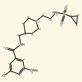 COc1cc(Cl)cc(C(=O)NCC2CCN(CCNS(=O)(=O)C3CC3)CC2)c1